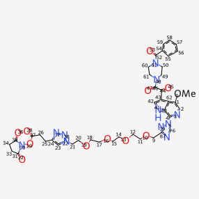 COc1cnc(-n2cnc(COCCOCCOCCOCCn3cc(CCC(=O)ON4C(=O)CCC4=O)nn3)n2)c2[nH]cc(C(=O)C(=O)N3CCN(C(=O)c4ccccc4)CC3)c12